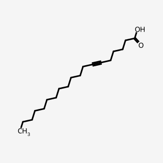 CCCCCCCCCCCCC#CCCCCC(=O)O